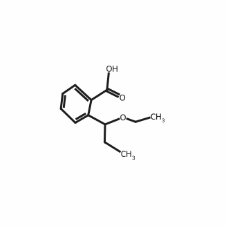 CCOC(CC)c1ccccc1C(=O)O